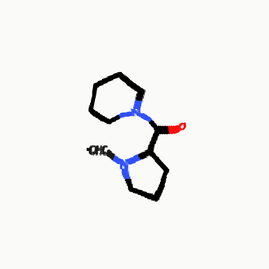 O=[C]N1CCCC1C(=O)N1CCCCC1